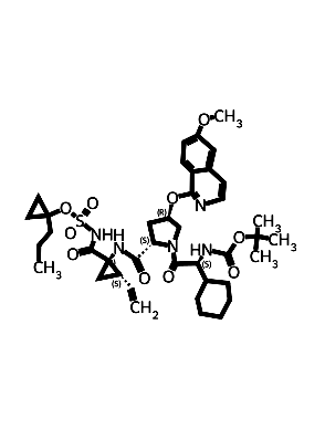 C=C[C@@H]1C[C@]1(NC(=O)[C@@H]1C[C@@H](Oc2nccc3cc(OC)ccc23)CN1C(=O)[C@@H](NC(=O)OC(C)(C)C)C1CCCCC1)C(=O)NS(=O)(=O)OC1(CCC)CC1